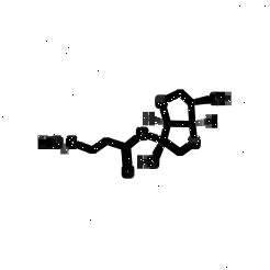 CCOC(=O)CCC(=O)O[C@@]1(O)CO[C@@H]2[C@H](O)CO[C@@H]21